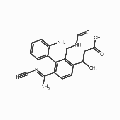 CC(CC(=O)O)c1ccc(C(N)=NC#N)c(-c2ccccc2N)c1CNC=O